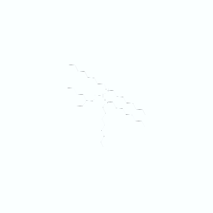 CCCCCCCC[N](CCCCCCCC)[Ti+]([O]CC(CC)CCCC)[N](CCCCCCCC)CCCCCCCC.[Cl-]